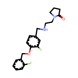 O=C1CCCN1CCNCc1ccc(OCc2ccccc2F)c(F)c1